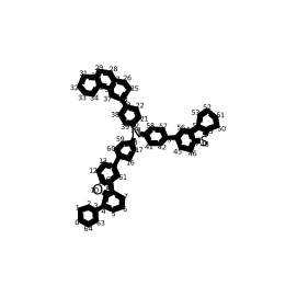 c1ccc(-c2cccc3c2oc2ccc(-c4ccc(N(c5ccc(-c6ccc7ccc8ccccc8c7c6)cc5)c5ccc(-c6ccc7sc8ccccc8c7c6)cc5)cc4)cc23)cc1